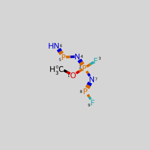 COP(F)(=NP=N)/N=P/F